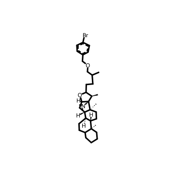 CC(CCC1O[C@H]2C[C@H]3[C@@H]4CCC5CCCC[C@]5(C)[C@H]4CC[C@]3(C)[C@@]2(N(C)C)[C@@H]1C)COCc1ccc(Br)cc1